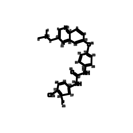 CN(C)Cc1cnc2ccc(Oc3ccc(NC(=O)Nc4ccc(Cl)c(F)c4)cc3)cc2n1